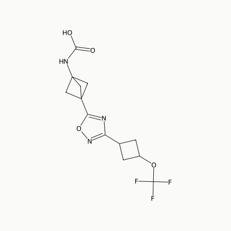 O=C(O)NC12CC(c3nc(C4CC(OC(F)(F)F)C4)no3)(C1)C2